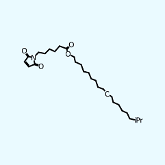 CC(C)CCCCCCCCCCCCCCCCOC(=O)CCCCCN1C(=O)C=CC1=O